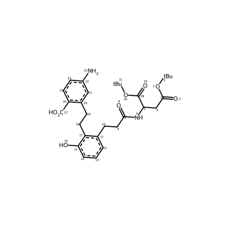 CC(C)(C)OC(=O)CC(NC(=O)CCc1cccc(O)c1CCc1cc(N)ccc1C(=O)O)C(=O)OC(C)(C)C